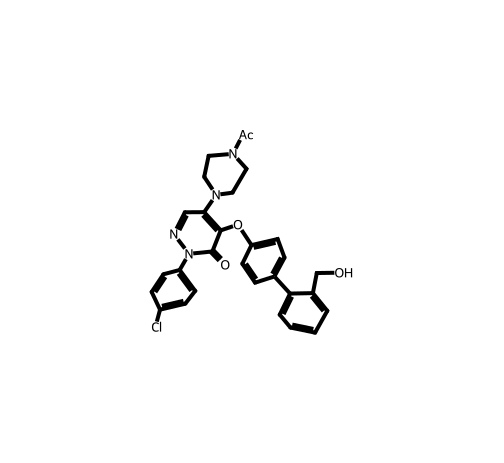 CC(=O)N1CCN(c2cnn(-c3ccc(Cl)cc3)c(=O)c2Oc2ccc(-c3ccccc3CO)cc2)CC1